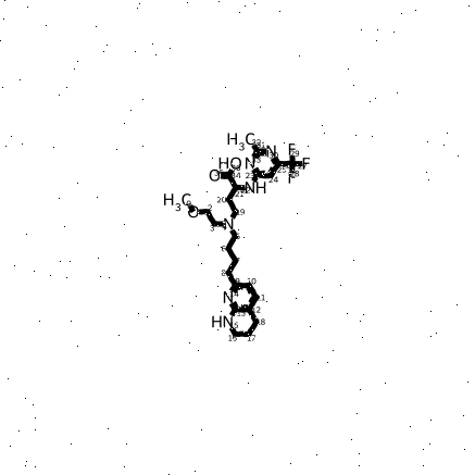 COCCN(CCCCc1ccc2c(n1)NCCC2)CCC(Nc1cc(C(F)(F)F)nc(C)n1)C(=O)O